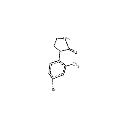 Cc1cc(Br)ccc1N1CCNC1=O